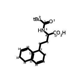 CC(C)(C)C(=O)NC(CCC1CC=CC2=C1C=CCC2)C(=O)O